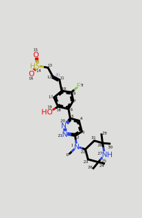 CN(c1ccc(-c2cc(F)c(/C=C/C[SH](=O)=O)cc2O)nn1)C1CC(C)(C)NC(C)(C)C1